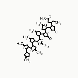 C=C1CCC(C2OC(=C)CC2C2OC(=C)CC2C2CC(=C)CC2C2OC(=C)OC2C2CC(=C)CC2C2CC(=O)OC2C2CC(=C)OC2C2CC(=O)CC2C(CC)CC(C)=O)C1